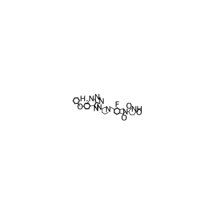 Nc1ncnc2c1c(-c1ccc(Oc3ccccc3)cc1)nn2C1CCCN(Cc2ccc3c(c2F)CN(C2CCC(=O)NC2=O)C3=O)C1